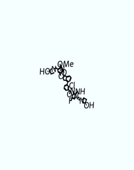 COc1nc(O[C@H]2CCc3c(-c4cccc(-c5nc6c(=N)n(CCN7CC[C@@H](O)C7)cc(F)c6o5)c4Cl)cccc32)c(Cl)cc1CN1CC[C@@H](O)C1